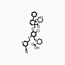 CC1(C)C(c2ccccc2)=CC=CC1(COc1cc(OCc2cncc(C#N)c2)c(CN2CCCC[C@H]2C(=O)O)cc1Cl)C(=O)N1CCOCC1